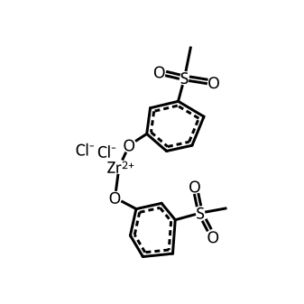 CS(=O)(=O)c1cccc([O][Zr+2][O]c2cccc(S(C)(=O)=O)c2)c1.[Cl-].[Cl-]